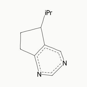 CC(C)C1CCc2ncncc21